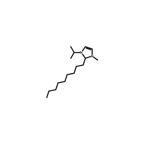 CCCCCCCCCC1N(C)C=CN1C(C)C